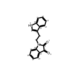 O=C1C(=O)N(CCc2c[nH]c3ccccc23)c2ccccc21